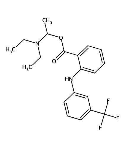 CCN(CC)C(C)OC(=O)c1ccccc1Nc1cccc(C(F)(F)F)c1